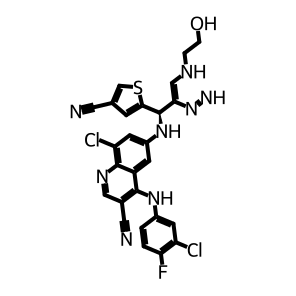 N#Cc1csc([C@H](Nc2cc(Cl)c3ncc(C#N)c(Nc4ccc(F)c(Cl)c4)c3c2)/C(=C/NCCO)N=N)c1